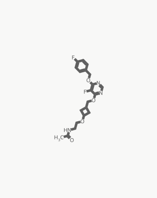 CC(=O)NCCOC1CC(COc2ncnc(OCc3ccc(F)cc3)c2F)C1